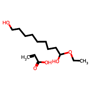 C=CC(=O)O.CCOC(O)CCCCCCCCO